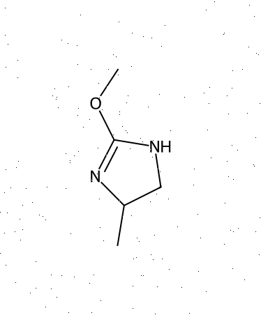 COC1=NC(C)CN1